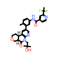 Cc1ccc(NC(=O)c2ccnc(C(C)(F)F)c2)cc1-c1cnc2c(c1)[C@@H]1CCOC[C@H]1C(=O)N2CC(C)(C)O